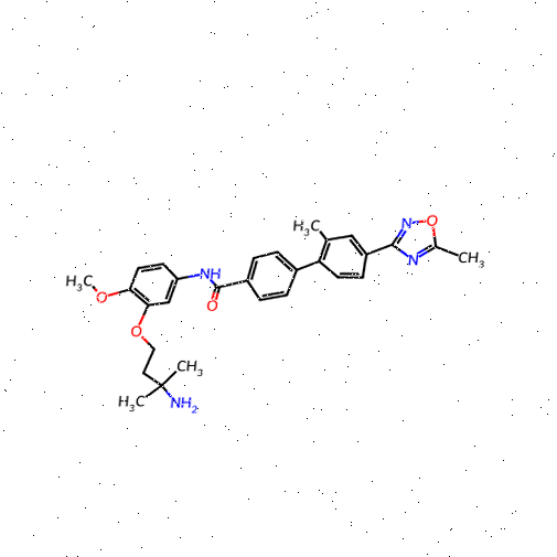 COc1ccc(NC(=O)c2ccc(-c3ccc(-c4noc(C)n4)cc3C)cc2)cc1OCCC(C)(C)N